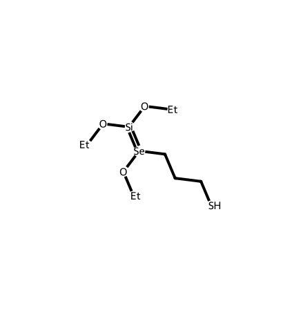 CCO[Si](OCC)=[Se](CCCS)OCC